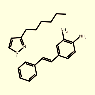 CCCCCCc1cc[nH]n1.Nc1ccc(C=Cc2ccccc2)cc1N